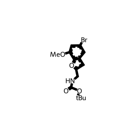 COc1cc(Br)cc2cc(CNC(=O)OC(C)(C)C)oc12